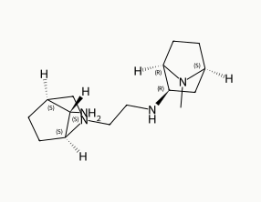 CN1[C@H]2CC[C@@H]1[C@H](NCCN1C[C@@H]3CC[C@H]1[C@H]3N)C2